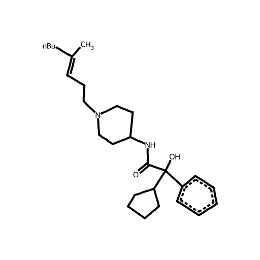 CCCCC(C)=CCCN1CCC(NC(=O)C(O)(c2ccccc2)C2CCCC2)CC1